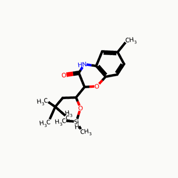 Cc1ccc2c(c1)NC(=O)C(C(CC(C)(C)C)O[SiH](C)C)O2